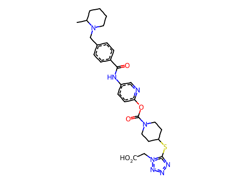 CC1CCCCN1Cc1ccc(C(=O)Nc2ccc(OC(=O)N3CCC(Sc4nnnn4CC(=O)O)CC3)nc2)cc1